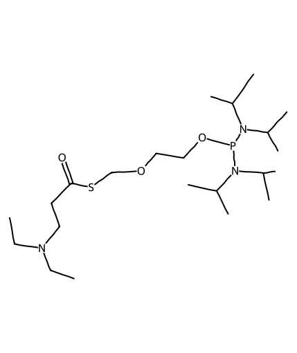 CCN(CC)CCC(=O)SCOCCOP(N(C(C)C)C(C)C)N(C(C)C)C(C)C